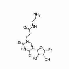 CC[C@H]1O[C@@H](c2cn(CCC(=O)NCCN)c(=O)[nH]c2=O)C(O)[C@H]1O